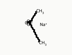 CCCCCCCCCCCCCCCCC(F)(CCCCCCCCCC)S(=O)(=O)[O-].[Na+]